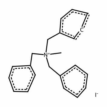 C[N+](Cc1ccccc1)(Cc1ccccc1)Cc1ccccc1.[I-]